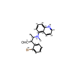 CC(C(C=O)c1ccccc1Br)N(C)c1cccc2ncccc12